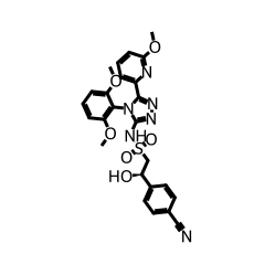 COc1cccc(-c2nnc(NS(=O)(=O)C[C@H](O)c3ccc(C#N)cc3)n2-c2c(OC)cccc2OC)n1